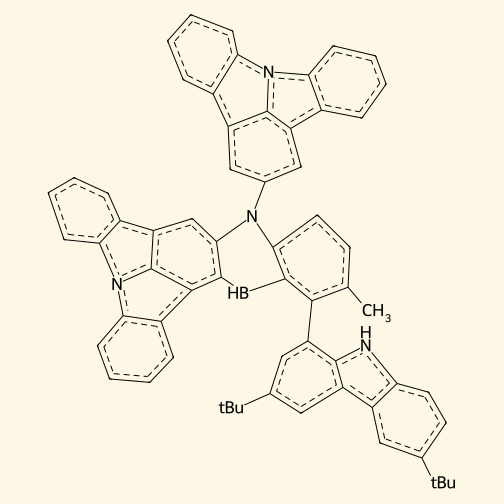 Cc1ccc2c(c1-c1cc(C(C)(C)C)cc3c1[nH]c1ccc(C(C)(C)C)cc13)Bc1c(cc3c4ccccc4n4c5ccccc5c1c34)N2c1cc2c3ccccc3n3c4ccccc4c(c1)c23